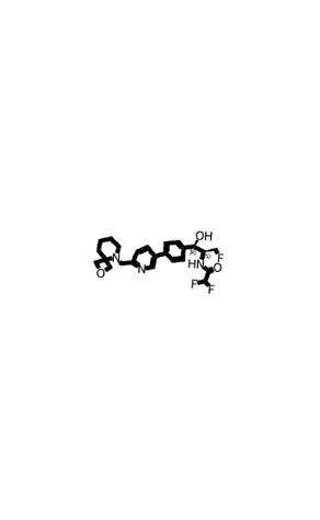 O=C(N[C@H](CF)[C@H](O)c1ccc(-c2ccc(CN3CCCCC34COC4)nc2)cc1)C(F)F